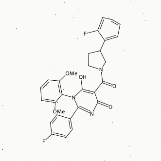 COc1cccc(OC)c1-n1c(-c2ccc(F)cc2)nc(=O)c(C(=O)N2CCC(c3ccccc3F)C2)c1O